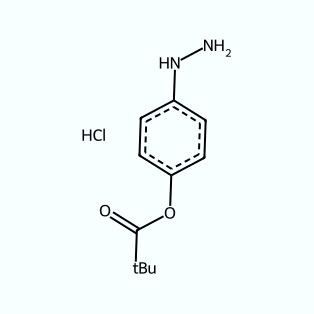 CC(C)(C)C(=O)Oc1ccc(NN)cc1.Cl